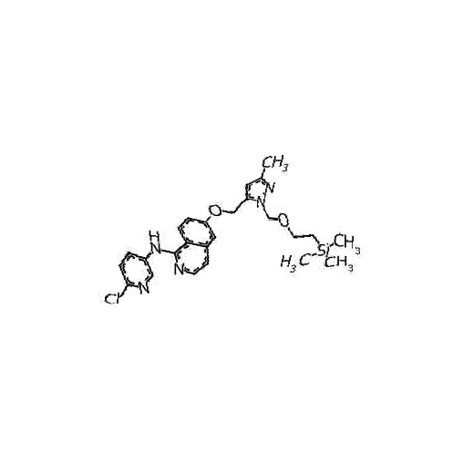 Cc1cc(COc2ccc3c(Nc4ccc(Cl)nc4)nccc3c2)n(COCC[Si](C)(C)C)n1